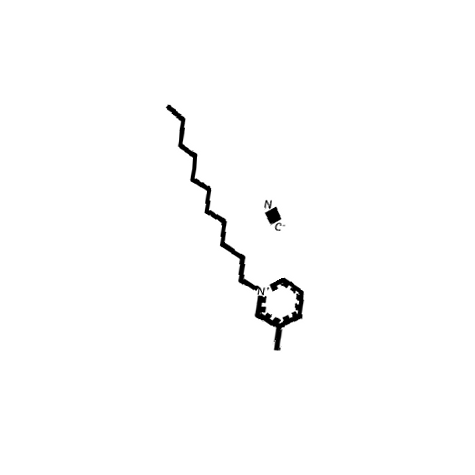 CCCCCCCCCCC[n+]1cccc(C)c1.[C-]#N